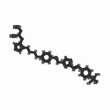 OCC(O)Cc1nccn1CCCCc1ccc(OCc2coc(/C=C/c3ccc(C(F)(F)F)cc3)n2)cc1